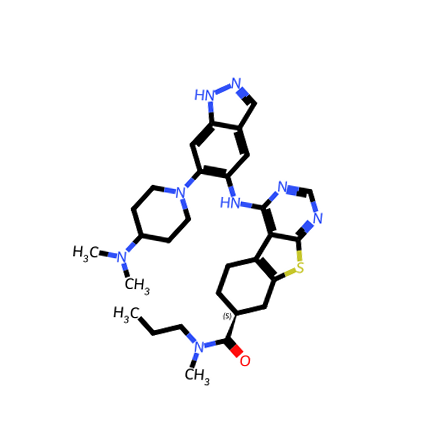 CCCN(C)C(=O)[C@H]1CCc2c(sc3ncnc(Nc4cc5cn[nH]c5cc4N4CCC(N(C)C)CC4)c23)C1